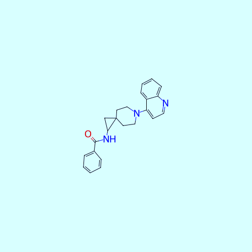 O=C(NC1CC12CCN(c1ccnc3ccccc13)CC2)c1ccccc1